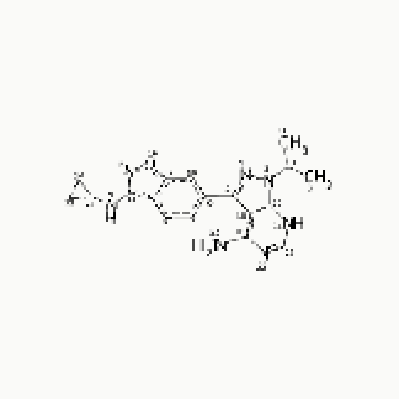 CC(C)N1N=C(c2ccc3c(NC4CC4)noc3c2)C2=C(N)N=CNC21